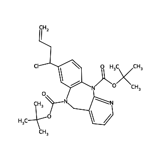 C=CCC(Cl)c1ccc2c(c1)N(C(=O)OC(C)(C)C)Cc1cccnc1N2C(=O)OC(C)(C)C